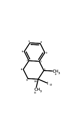 CC1c2ccccc2CCC1(C)I